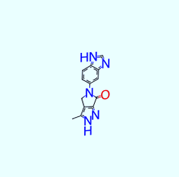 Cc1[nH]nc2c1CN(c1ccc3[nH]cnc3c1)C2=O